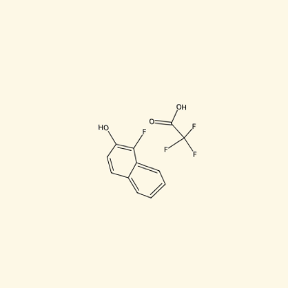 O=C(O)C(F)(F)F.Oc1ccc2ccccc2c1F